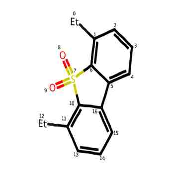 CCc1cccc2c1S(=O)(=O)c1c(CC)cccc1-2